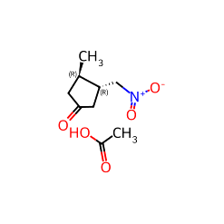 CC(=O)O.C[C@@H]1CC(=O)C[C@H]1C[N+](=O)[O-]